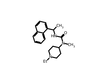 CCN1CCC(N(C)C(=O)NC(C)c2cccc3ccccc23)CC1